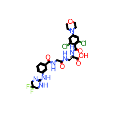 O=C(CNC(=O)c1cccc(NC2=NCC(F)(F)CN2)c1)NC[C@@H](NC(=O)c1c(Cl)cc(N2CCOCC2)cc1Cl)C(=O)O